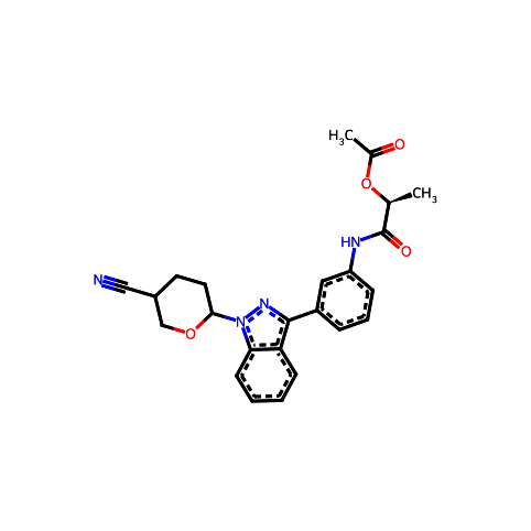 CC(=O)O[C@@H](C)C(=O)Nc1cccc(-c2nn(C3CCC(C#N)CO3)c3ccccc23)c1